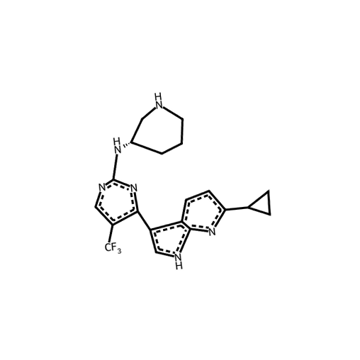 FC(F)(F)c1cnc(N[C@H]2CCCNC2)nc1-c1c[nH]c2nc(C3CC3)ccc12